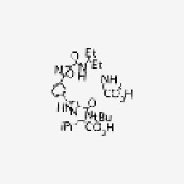 CCC(CC)NC(=O)c1cnc(-c2cccc(-c3cc(C(=O)N([C@@H](CC(C)C)C(=O)O)C(C)(C)C)n[nH]3)c2)o1.NCC(=O)O